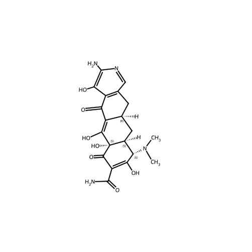 CN(C)[C@@H]1C(O)=C(C(N)=O)C(=O)[C@@]2(O)C(O)=C3C(=O)c4c(cnc(N)c4O)C[C@H]3C[C@@H]12